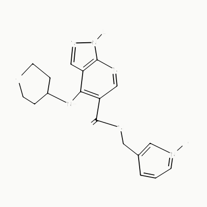 CCn1ncc2c(NC3CCOCC3)c(C(=O)NCc3ccc[n+]([O-])c3)cnc21